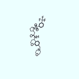 O=C(CC1CCCN1S(=O)(=O)c1cccc(C(F)(F)F)c1)NC1CCOc2cc(CN3CCOCC3)ccc21